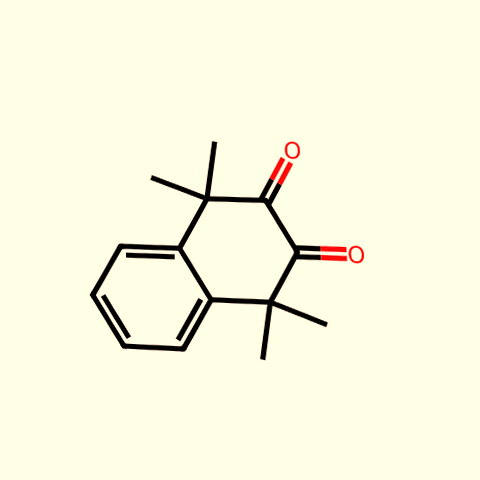 CC1(C)C(=O)C(=O)C(C)(C)c2ccccc21